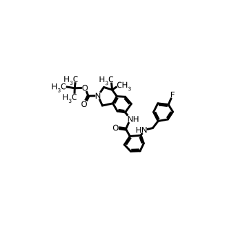 CC(C)(C)OC(=O)N1Cc2cc(NC(=O)c3ccccc3NCc3ccc(F)cc3)ccc2C(C)(C)C1